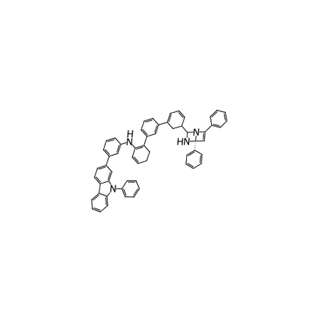 C1=CC(C2N[C@]3(c4ccccc4)C=C(c4ccccc4)N23)CC(c2cccc(C3=C(Nc4cccc(-c5ccc6c7ccccc7n(-c7ccccc7)c6c5)c4)C=CCC3)c2)=C1